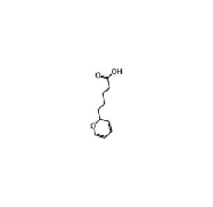 O=C(O)CCCCC1C=CC=CO1